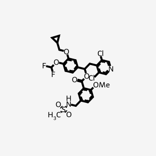 COc1ccc(CNS(C)(=O)=O)cc1C(=O)OC(Cc1c(Cl)cncc1Cl)c1ccc(OC(F)F)c(OCC2CC2)c1